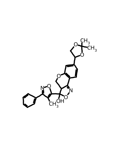 Cc1c(-c2ccccc2)noc1C1(O)ON=C2c3ccc(C4COC(C)(C)O4)cc3OCC21